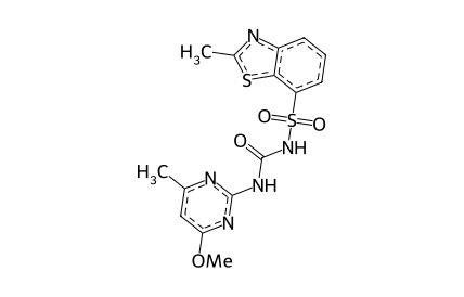 COc1cc(C)nc(NC(=O)NS(=O)(=O)c2cccc3nc(C)sc23)n1